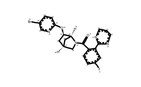 O=C(c1ccc(F)cc1-c1ncccn1)N1C[C@H]2C[C@@H](Oc3ccc(Br)cn3)[C@@H]1C2